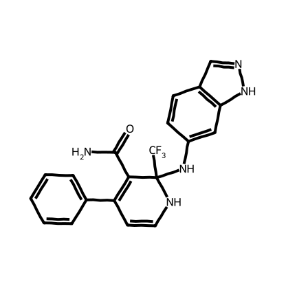 NC(=O)C1=C(c2ccccc2)C=CNC1(Nc1ccc2cn[nH]c2c1)C(F)(F)F